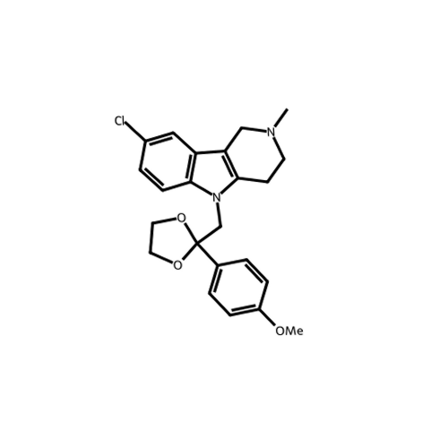 COc1ccc(C2(Cn3c4c(c5cc(Cl)ccc53)CN(C)CC4)OCCO2)cc1